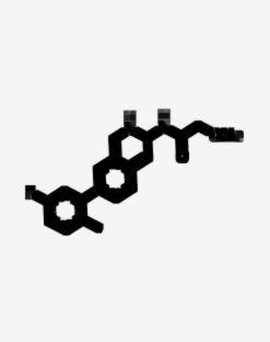 COCC(=O)NC1C=c2ccc(-c3cc(F)ccc3C)cc2=CN1